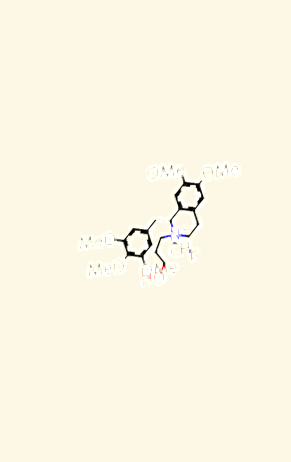 COc1cc2c(cc1OC)[C@@H](Cc1cc(OC)c(OC)c(OC)c1)[N@@+](C)(CCCO)CC2.[I-]